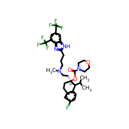 CC(C)C1c2ccc(F)cc2CC[C@@]1(CCN(C)CCCc1nc2c(C(F)(F)F)cc(C(F)(F)F)cc2[nH]1)OC(=O)N1CCOCC1